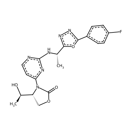 C[C@H](Nc1nccc(N2C(=O)OC[C@@H]2[C@@H](C)O)n1)c1nnc(-c2ccc(F)cc2)o1